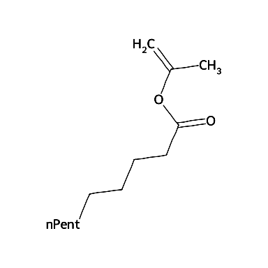 C=C(C)OC(=O)CCCCCCCCC